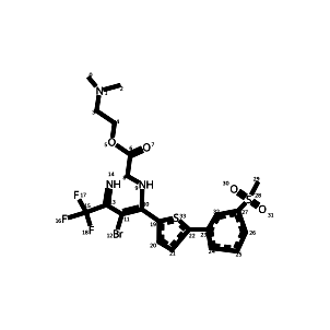 CN(C)CCOC(=O)CN/C(=C(/Br)C(=N)C(F)(F)F)c1ccc(-c2cccc(S(C)(=O)=O)c2)s1